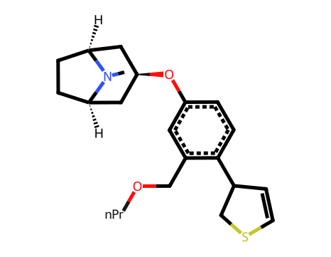 CCCOCc1cc(O[C@H]2C[C@H]3CC[C@@H](C2)N3C)ccc1C1C=CSC1